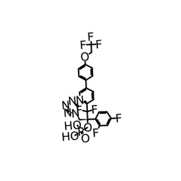 O=P(O)(O)O[C@@](Cn1cnnn1)(c1ccc(F)cc1F)C(F)(F)c1ccc(-c2ccc(OCC(F)(F)F)cc2)cn1